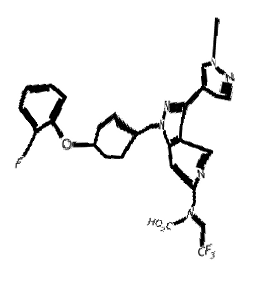 Cn1cc(-c2nn(C3CCC(Oc4ccccc4F)CC3)c3cc(N(CC(F)(F)F)C(=O)O)ncc23)cn1